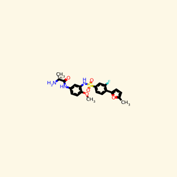 COc1ccc(NC(=O)[C@@H](C)N)cc1NS(=O)(=O)c1ccc(-c2ccc(C)o2)c(F)c1